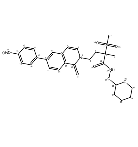 CC(CCn1ccc2cc(-c3ccc(C=O)cc3)ccc2c1=O)(C(=O)NOC1CCCCO1)S(C)(=O)=O